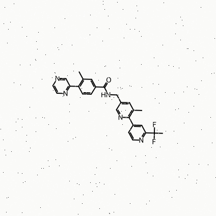 Cc1cc(C(=O)NCc2cnc(-c3ccnc(C(C)(F)F)c3)c(C)c2)ccc1-c1cnccn1